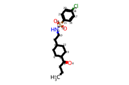 CCCC(=O)C1CCC(CCNS(=O)(=O)c2ccc(Cl)cc2)CC1